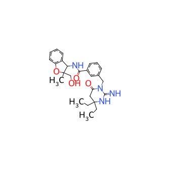 CCC1(CC)CC(=O)N(Cc2cccc(C(=O)NC3c4ccccc4OC3(C)CO)c2)C(=N)N1